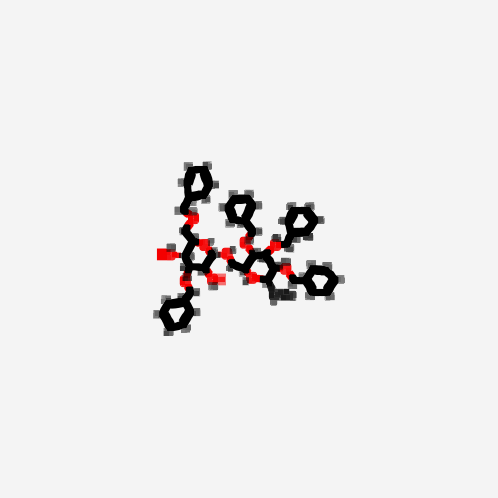 CO[C@H]1OC(CO[C@H]2OC(COCc3ccccc3)[C@@H](O)C(OCc3ccccc3)C2O)[C@@H](OCc2ccccc2)C(OCc2ccccc2)C1OCc1ccccc1